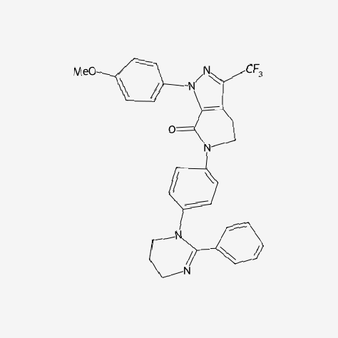 COc1ccc(-n2nc(C(F)(F)F)c3c2C(=O)N(c2ccc(N4CCCN=C4c4ccccc4)cc2)CC3)cc1